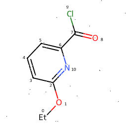 CCOc1cccc(C(=O)Cl)n1